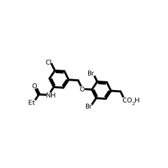 CCC(=O)Nc1cc(Cl)cc(COc2c(Br)cc(CC(=O)O)cc2Br)c1